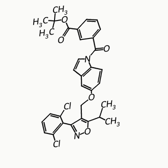 CC(C)c1onc(-c2c(Cl)cccc2Cl)c1COc1ccc2c(ccn2C(=O)c2cccc(C(=O)OC(C)(C)C)c2)c1